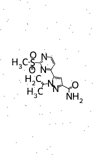 C=C(C)n1nc(C(N)=O)cc1-c1ccnc(S(C)(=O)=O)n1